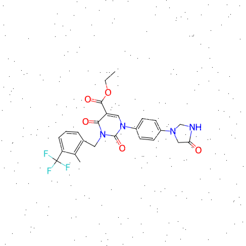 CCOC(=O)c1cn(-c2ccc(N3CNC(=O)C3)cc2)c(=O)n(Cc2cccc(C(F)(F)F)c2C)c1=O